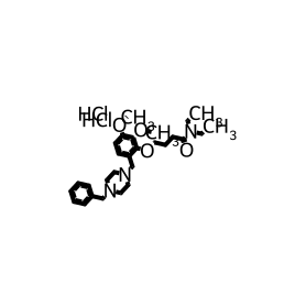 CCN(CC)C(=O)CCCOc1c(CN2CCN(Cc3ccccc3)CC2)ccc(OC)c1OC.Cl.Cl